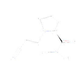 CN(C)C(=O)[C@@H]1CCCN1CCC#N